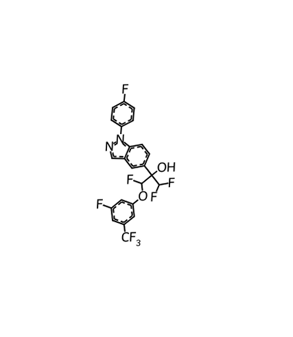 OC(c1ccc2c(cnn2-c2ccc(F)cc2)c1)(C(F)F)C(F)Oc1cc(F)cc(C(F)(F)F)c1